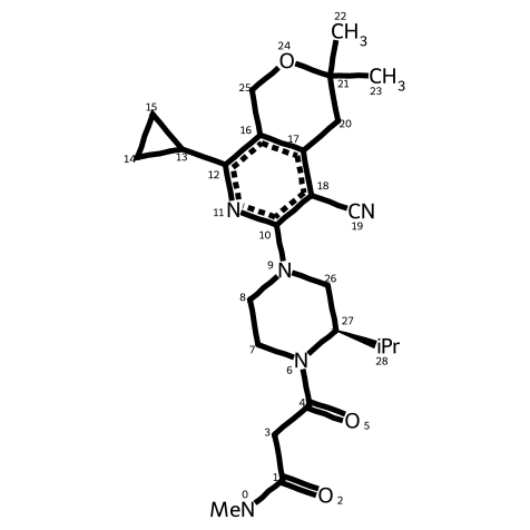 CNC(=O)CC(=O)N1CCN(c2nc(C3CC3)c3c(c2C#N)CC(C)(C)OC3)C[C@H]1C(C)C